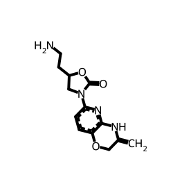 C=C1COc2ccc(N3CC(CCN)OC3=O)nc2N1